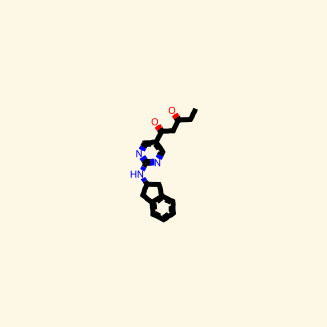 CCC(=O)CC(=O)c1cnc(NC2Cc3ccccc3C2)nc1